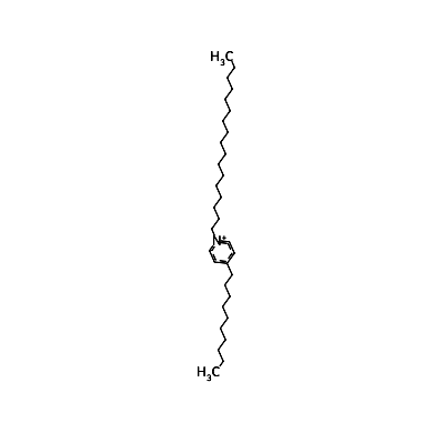 CCCCCCCCCCCCCCCCC[n+]1ccc(CCCCCCCCCC)cc1